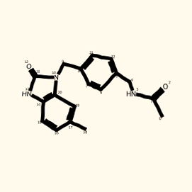 CC(=O)NCc1ccc(Cn2c(=O)[nH]c3ccc(C)cc32)cc1